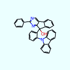 OC1(c2ccccc2-n2c3ccccc3c3ccccc32)c2ccccc2-c2cnc(-c3ccccc3)nc21